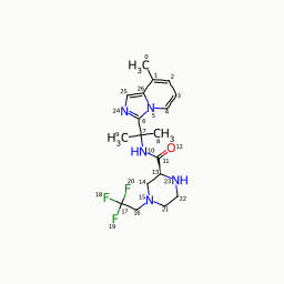 Cc1cccn2c(C(C)(C)NC(=O)[C@@H]3CN(CC(F)(F)F)CCN3)ncc12